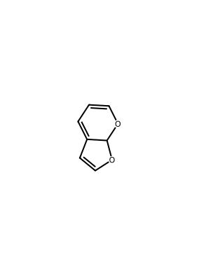 C1=COC2OC=CC2=C1